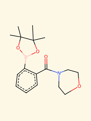 CC1(C)OB(c2ccccc2C(=O)N2CCOCC2)OC1(C)C